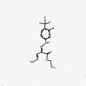 CCOC(=O)C(C=NO)=NNc1ccc(C(F)(F)F)c(F)c1